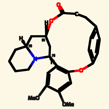 COc1cc2c(cc1OC)[C@@H]1C[C@H](C[C@H]3CCCCN31)OC(=O)CCc1ccc(cc1)O2